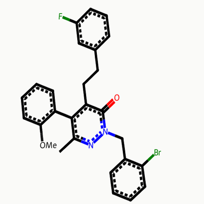 COc1ccccc1-c1c(C)nn(Cc2ccccc2Br)c(=O)c1CCc1cccc(F)c1